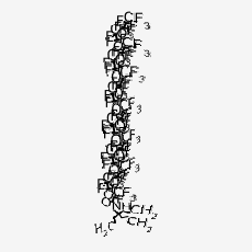 C=CCC(CC=C)(CC=C)CNC(=O)C(F)(OC(F)(F)C(F)(OC(F)(F)C(F)(OC(F)(F)C(F)(OC(F)(F)C(F)(OC(F)(F)C(F)(OC(F)(F)C(F)(OC(F)(F)C(F)(OC(F)(F)C(F)(OC(F)(F)C(F)(OC(F)(F)C(F)(OC(F)(F)C(F)(OC(F)(F)C(F)(F)C(F)(F)F)C(F)(F)F)C(F)(F)F)C(F)(F)F)C(F)(F)F)C(F)(F)F)C(F)(F)F)C(F)(F)F)C(F)(F)F)C(F)(F)F)C(F)(F)F)C(F)(F)F)C(F)(F)F